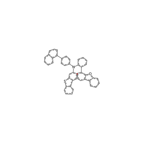 c1ccc(N(c2ccc(-c3cccc4ccccc34)cc2)c2ccc3c(c2)sc2ccccc23)c(-c2cccc3c2oc2ccccc23)c1